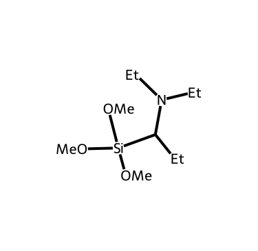 CCC(N(CC)CC)[Si](OC)(OC)OC